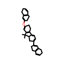 CC1(C)C2=C(CCC(OC3=CC4=C(C=CCC4)CC3)=C2)C2=CC=C(C3=CC4=C(C=CCC4)CC3)CC21